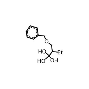 CCC(COCc1ccccc1)C(O)(O)O